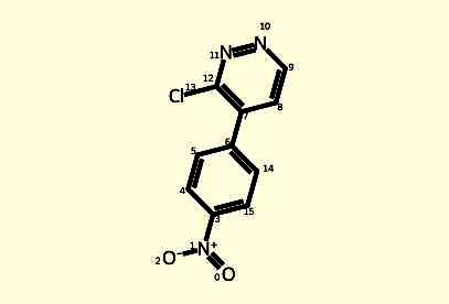 O=[N+]([O-])c1ccc(-c2ccnnc2Cl)cc1